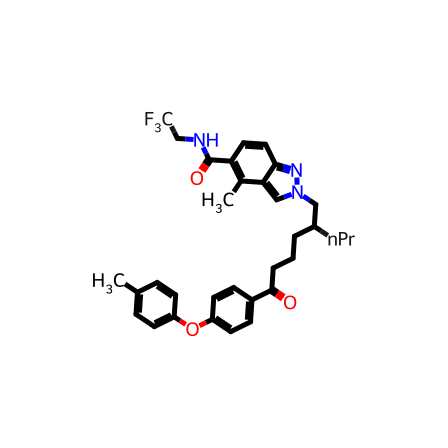 CCCC(CCCC(=O)c1ccc(Oc2ccc(C)cc2)cc1)Cn1cc2c(C)c(C(=O)NCC(F)(F)F)ccc2n1